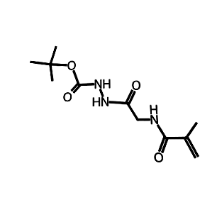 C=C(C)C(=O)NCC(=O)NNC(=O)OC(C)(C)C